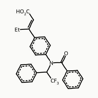 CC/C(=C\C(=O)O)c1ccc(N(C(=O)c2ccccc2)C(c2ccccc2)C(F)(F)F)cc1